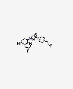 FCCN1CCN(C(=S)N/N=C2/CCNc3cc(F)cnc32)CC1